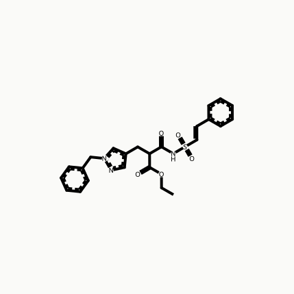 CCOC(=O)C(Cc1cnn(Cc2ccccc2)c1)C(=O)NS(=O)(=O)/C=C/c1ccccc1